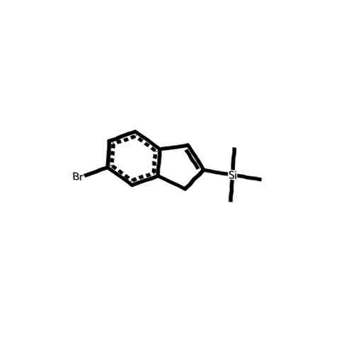 C[Si](C)(C)C1=Cc2ccc(Br)cc2C1